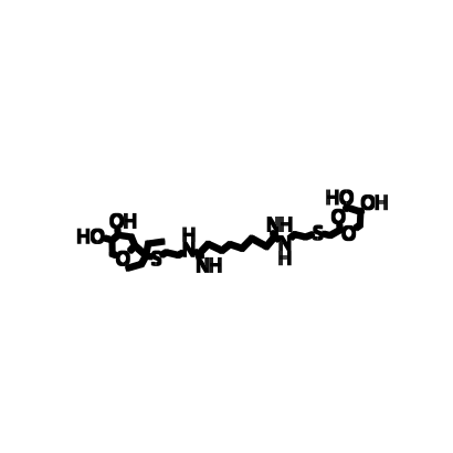 CCC(CC)(SCCNC(=N)CCCCCCC(=N)NCCSCC1OCC(O)C(O)O1)C1CC(O)C(O)CO1